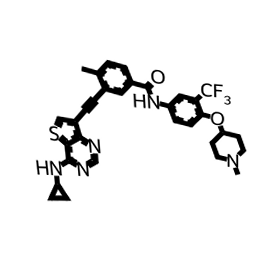 Cc1ccc(C(=O)Nc2ccc(OC3CCN(C)CC3)c(C(F)(F)F)c2)cc1C#Cc1csc2c(NC3CC3)ncnc12